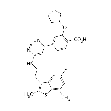 Cc1sc2c(C)cc(F)cc2c1CCNc1cc(-c2ccc(C(=O)O)c(OC3CCCC3)c2)ncn1